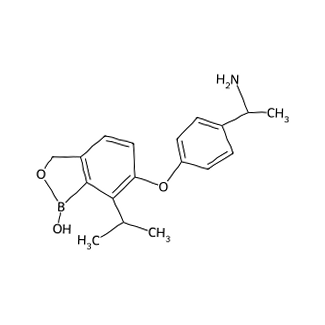 CC(C)c1c(Oc2ccc(C(C)N)cc2)ccc2c1B(O)OC2